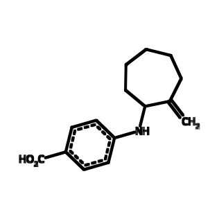 C=C1CCCCCC1Nc1ccc(C(=O)O)cc1